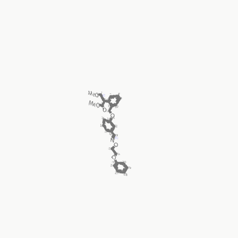 CO/C=C(\C(=O)OC)c1ccccc1COc1cccc(/C=N/OCCOc2ccccc2)c1